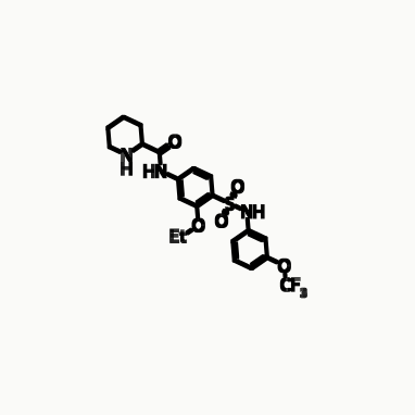 CCOc1cc(NC(=O)C2CCCCN2)ccc1S(=O)(=O)Nc1cccc(OC(F)(F)F)c1